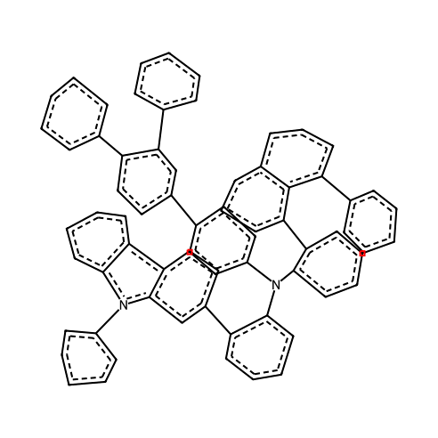 c1ccc(-c2ccc(-c3ccc(N(c4ccccc4-c4ccc5c6ccccc6n(-c6ccccc6)c5c4)c4ccccc4-c4cccc5cccc(-c6ccccc6)c45)cc3)cc2-c2ccccc2)cc1